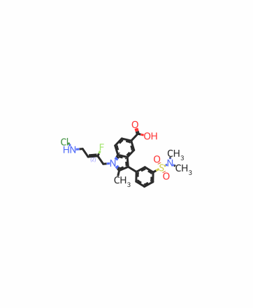 Cc1c(-c2cccc(S(=O)(=O)N(C)C)c2)c2cc(C(=O)O)ccc2n1C/C(F)=C/CNCl